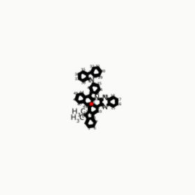 CC1(C)c2ccccc2-c2cc(-c3nc4ccccc4nc3-n3c4ccc(-n5c6ccccc6c6ccccc65)cc4c4c5ccccc5ccc43)ccc21